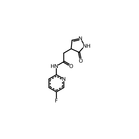 O=C(CC1C=NNC1=O)Nc1ccc(F)cn1